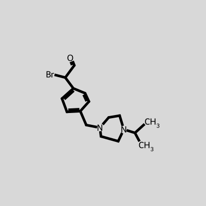 CC(C)N1CCN(Cc2ccc(C(Br)C=O)cc2)CC1